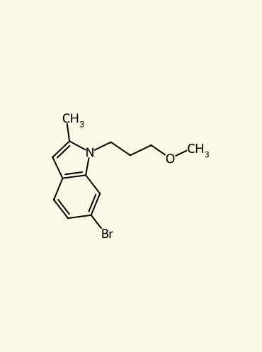 COCCCn1c(C)cc2ccc(Br)cc21